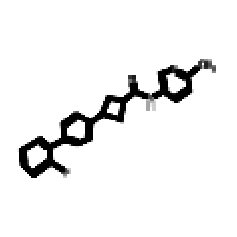 Cc1ccc(NC(=O)C2CC(c3ccc(-c4ccccc4F)cc3)C2)cn1